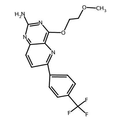 COCCOc1nc(N)nc2ccc(-c3ccc(C(F)(F)F)cc3)nc12